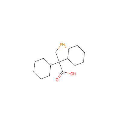 O=C(O)C(CP)(C1CCCCC1)C1CCCCC1